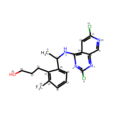 CC(Nc1nc(Cl)nc2cnc(Cl)cc12)c1cccc(C(F)(F)F)c1CCCO